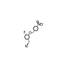 N#CCc1ccc(F)c(OCc2ccc([N+](=O)[O-])cc2)c1